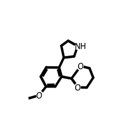 COc1ccc(C2CCNC2)c(C2OCCCO2)c1